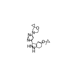 CC1(OC2=CC3=C(CC2)NN[C@H]3c2cc(N3CCOC4(CC4)C3)ncn2)CC1